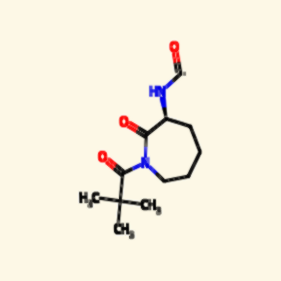 CC(C)(C)C(=O)N1CCCC[C@H](N[C]=O)C1=O